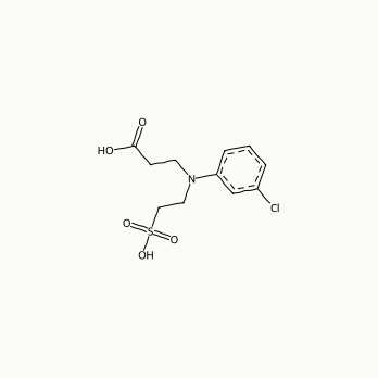 O=C(O)CCN(CCS(=O)(=O)O)c1cccc(Cl)c1